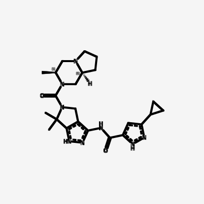 C[C@H]1CN2CCC[C@H]2CN1C(=O)N1Cc2c(NC(=O)c3cc(C4CC4)n[nH]3)n[nH]c2C1(C)C